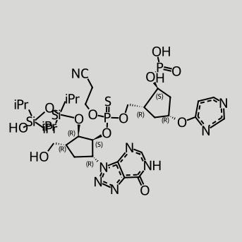 CC(C)[Si](O)(O[Si](O[C@@H]1[C@@H](CO)C[C@@H](n2nnc3c(=O)[nH]cnc32)[C@@H]1OP(=S)(OCCC#N)OC[C@H]1C[C@@H](Oc2ccncn2)C[C@@H]1O[PH](=O)O)(C(C)C)C(C)C)C(C)C